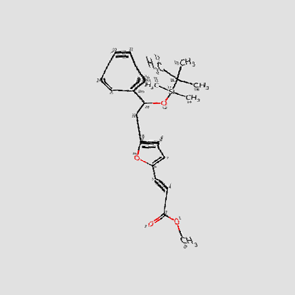 COC(=O)/C=C/c1ccc(CC(O[Si](C)(C)C(C)(C)C)c2ccccc2)o1